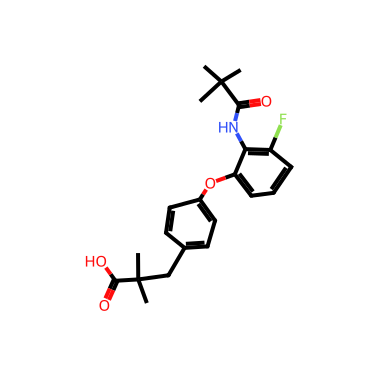 CC(C)(C)C(=O)Nc1c(F)cccc1Oc1ccc(CC(C)(C)C(=O)O)cc1